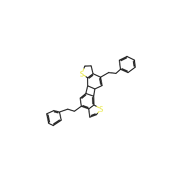 C1=C(CCc2ccccc2)C2=C(SCC2)C2c3cc(CCc4ccccc4)c4ccsc4c3C12